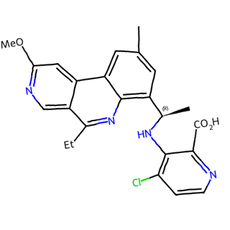 CCc1nc2c([C@@H](C)Nc3c(Cl)ccnc3C(=O)O)cc(C)cc2c2cc(OC)ncc12